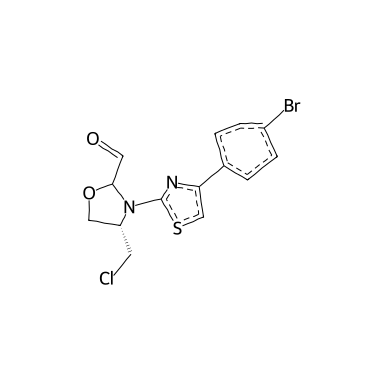 O=CC1OC[C@@H](CCl)N1c1nc(-c2ccc(Br)cc2)cs1